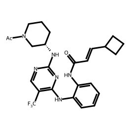 CC(=O)N1CCC[C@H](Nc2ncc(C(F)(F)F)c(Nc3ccccc3NC(=O)/C=C/C3CCC3)n2)C1